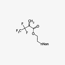 C=C(C(=O)OCCCCCCCCCCC)C(F)(F)C(F)(F)F